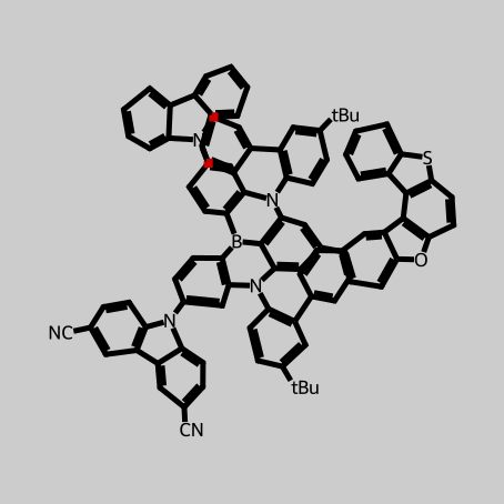 CC(C)(C)c1ccc(N2c3cc(-n4c5ccccc5c5ccccc54)ccc3B3c4ccc(-n5c6ccc(C#N)cc6c6cc(C#N)ccc65)cc4N(c4ccc(C(C)(C)C)cc4-c4ccccc4)c4cc(-c5ccc6oc7ccc8sc9ccccc9c8c7c6c5)cc2c43)c(-c2ccccc2)c1